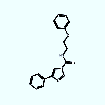 O=C(NCCOc1ccccc1)n1cnc(-c2cccnc2)c1